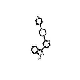 c1ccc2c(-c3ccnc(N4CCC(c5ccncc5)CC4)c3)n[nH]c2c1